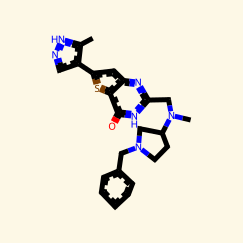 Cc1[nH]ncc1-c1cc2nc(CN(C)C3CCN(Cc4ccccc4)C3)[nH]c(=O)c2s1